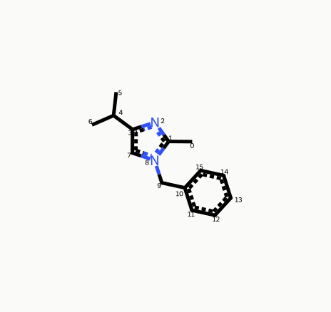 Cc1nc(C(C)C)cn1Cc1ccccc1